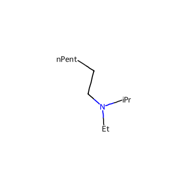 CCCCCCCN(CC)C(C)C